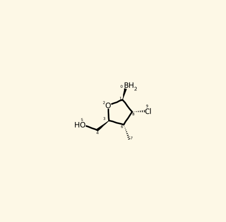 B[C@@H]1O[C@H](CO)[C@@H](C)[C@H]1Cl